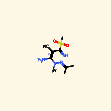 CC(C)=NN(/C(N)=C(/C#N)C(=N)S(C)(=O)=O)C(C)C